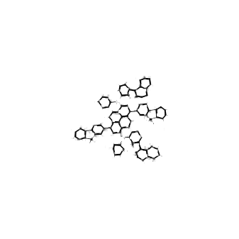 CC1(C)c2ccccc2-c2ccc(-c3cc(N(c4ccccc4)c4cccc5c4oc4ccc6ccccc6c45)c4ccc5c(-c6ccc7c(c6)C(C)(C)c6ccccc6-7)cc(N(c6ccccc6)c6cccc7c6oc6ccc8ccccc8c67)c6ccc3c4c56)cc21